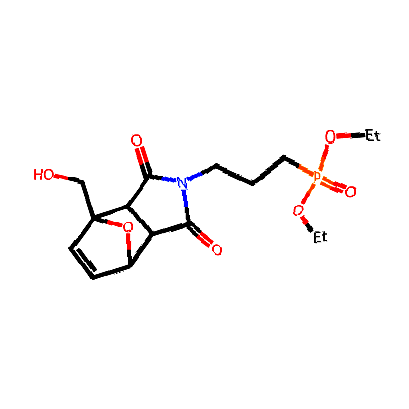 CCOP(=O)(CCCN1C(=O)C2C3C=CC(CO)(O3)C2C1=O)OCC